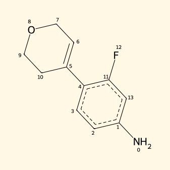 Nc1ccc(C2=CCOCC2)c(F)c1